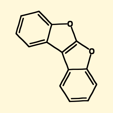 c1ccc2c(c1)oc1oc3ccccc3c12